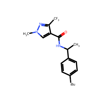 CCC(C)c1ccc(C(C)NC(=O)c2cn(C)nc2C(F)(F)F)cc1